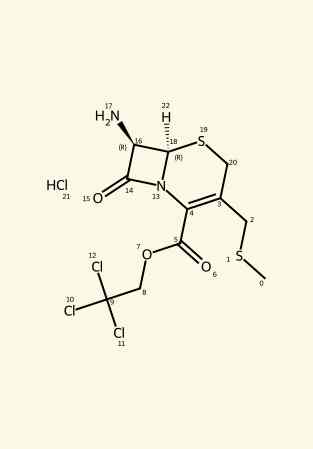 CSCC1=C(C(=O)OCC(Cl)(Cl)Cl)N2C(=O)[C@@H](N)[C@H]2SC1.Cl